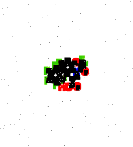 O=C(O)CCN1C(=O)C(F)(F)Oc2cc(F)c(-c3c(F)c(F)c(F)c(F)c3F)cc21